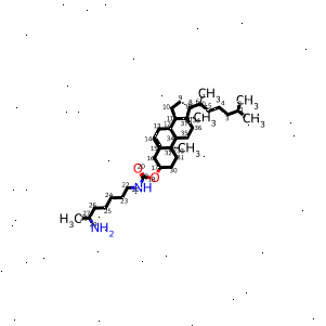 CC(C)CCC[C@@H](C)[C@H]1CCC2C3CC=C4CC(OC(=O)NCCCCCC(C)N)CC[C@]4(C)C3CC[C@@]21C